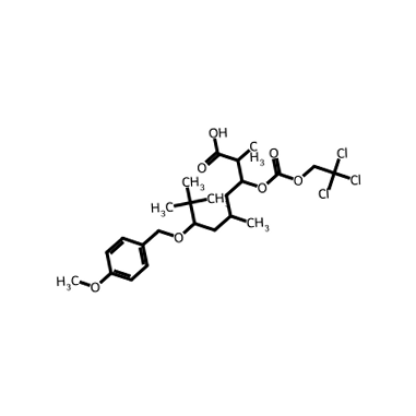 COc1ccc(COC(CC(C)CC(OC(=O)OCC(Cl)(Cl)Cl)C(C)C(=O)O)C(C)(C)C)cc1